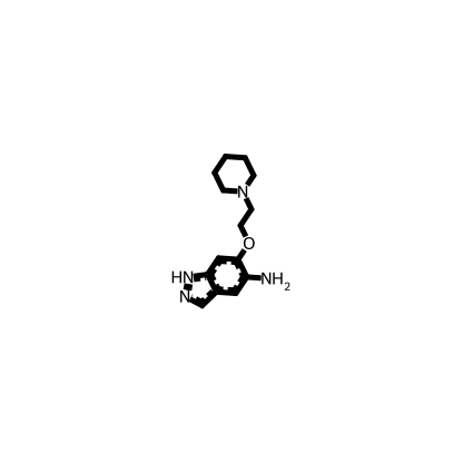 Nc1cc2cn[nH]c2cc1OCCN1CCCCC1